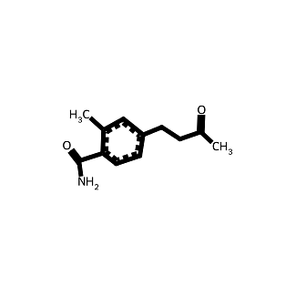 CC(=O)CCc1ccc(C(N)=O)c(C)c1